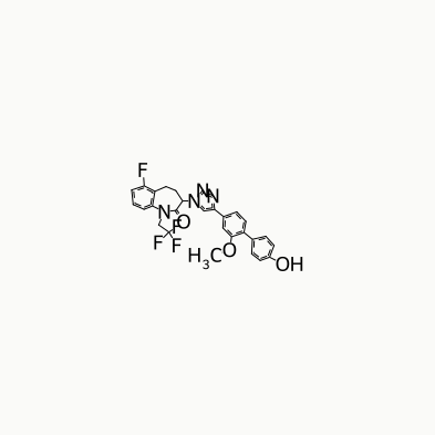 COc1cc(-c2cn(C3CCc4c(F)cccc4N(CC(F)(F)F)C3=O)nn2)ccc1-c1ccc(O)cc1